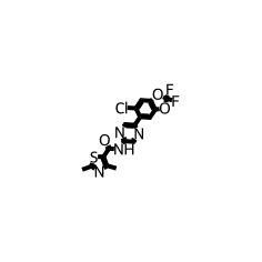 Cc1nc(C)c(C(=O)Nc2cnc(-c3cc4c(cc3Cl)OC(F)(F)O4)cn2)s1